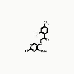 CNc1nc(Cl)ncc1OCC(=O)c1ccc(C(F)(F)F)cc1C(F)(F)F